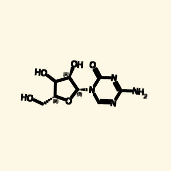 Nc1ncn([C@@H]2O[C@H](CO)C(O)[C@H]2O)c(=O)n1